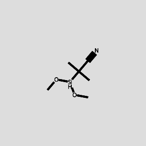 CO[SiH](OC)C(C)(C)C#N